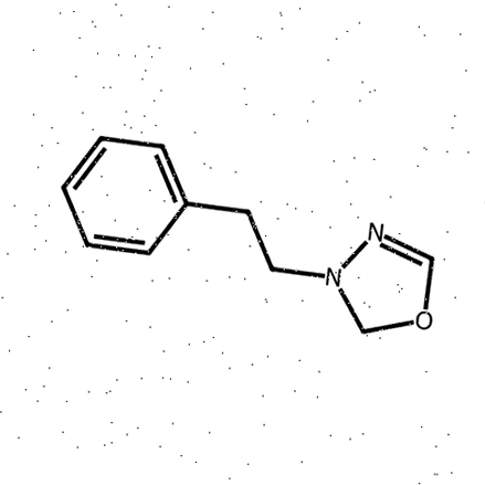 C1=NN(CCc2ccccc2)CO1